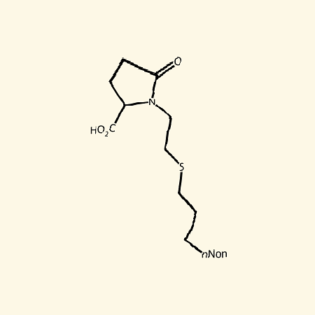 CCCCCCCCCCCCSCCN1C(=O)CCC1C(=O)O